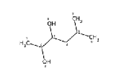 CC(C)CC(O)C(C)O